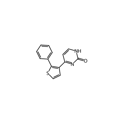 O=c1nc(-c2ccsc2-c2ccccc2)cc[nH]1